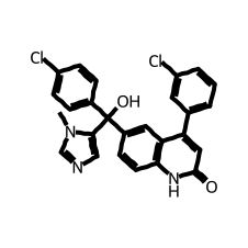 Cn1cncc1C(O)(c1ccc(Cl)cc1)c1ccc2[nH]c(=O)cc(-c3cccc(Cl)c3)c2c1